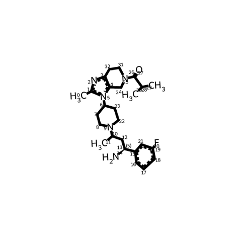 Cc1nc2c(n1C1CCN(C(C)C[C@H](N)c3cccc(F)c3)CC1)CN(C(=O)C(C)C)CC2